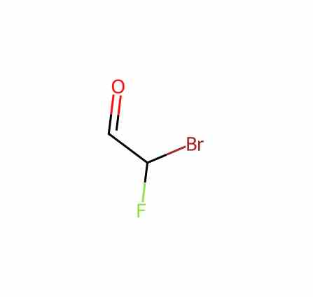 O=CC(F)Br